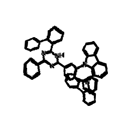 c1ccc(C2=NC(c3ccc(-c4ccccc4)c(-n4c5ccccc5c5cccc(-n6c7ccccc7c7ccccc76)c54)c3)NC(c3ccccc3-c3ccccc3)=N2)cc1